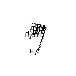 CCCCCCCCCCCCc1ccc(S(=O)(=O)Nc2ccc(Cl)c(NC(=O)C(Cl)C(=O)C(C)(C)C)c2)cc1